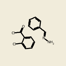 NN=Cc1ccccc1.O=C(Cl)c1ccccc1Cl